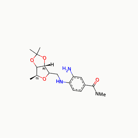 CNC(=O)c1ccc(NCC2O[C@@H](C)C3OC(C)(C)O[C@H]23)c(N)c1